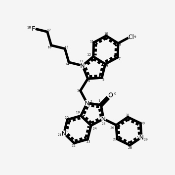 O=c1n(Cc2cc3cc(Cl)ccc3n2CCCCF)c2cnccc2n1-c1ccncc1